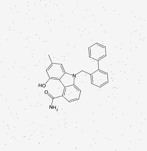 Cc1cc(O)c2c3c(C(N)=O)cccc3n(Cc3ccccc3-c3ccccc3)c2c1